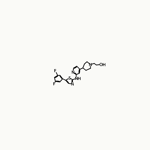 OCCN1CCC(c2ccnc(Nc3ncc(-c4cc(F)cc(F)c4)s3)c2)CC1